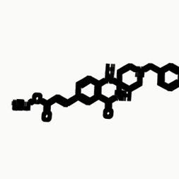 CC(C)(C)OC(=O)/C=C/c1ccc2c(c1)C(=O)NC1(CCN(Cc3ccccc3)CC1)N2